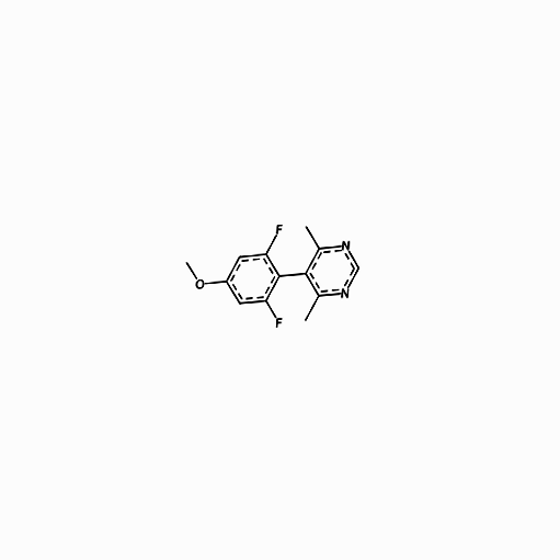 COc1cc(F)c(-c2c(C)ncnc2C)c(F)c1